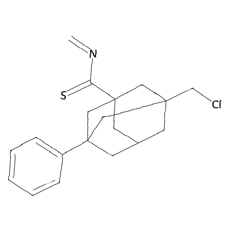 C=NC(=S)C12CC3CC(CCl)(C1)CC(c1ccccc1)(C3)C2